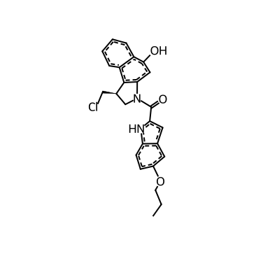 CCCOc1ccc2[nH]c(C(=O)N3C[C@@H](CCl)c4c3cc(O)c3ccccc43)cc2c1